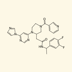 CC(NC(=O)CC1CN(C(=O)c2cccnc2)CCN1c1cc(-n2ccnc2)ncn1)c1ccc(F)c(F)c1